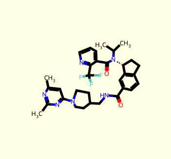 Cc1cc(N2CCC(CNC(=O)c3ccc4c(c3)[C@H](N(C(=O)c3cccnc3C(F)(F)F)C(C)C)CC4)CC2)nc(C)n1